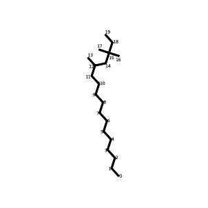 CCCCCCCCCC[CH]CC(C)CC(C)(C)CC